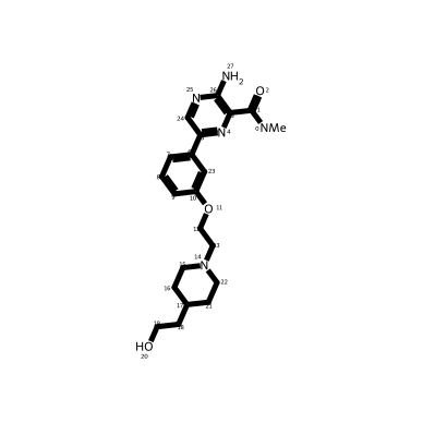 CNC(=O)c1nc(-c2cccc(OCCN3CCC(CCO)CC3)c2)cnc1N